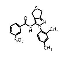 Cc1ccc(-n2nc3c(c2NC(=O)c2cccc([N+](=O)[O-])c2)CSC3)c(C)c1